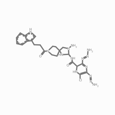 NN=NC1=NC(N=NN)=C(Cl)NC1C(=O)NC1NC2(CCN(C(=O)CCc3c[nH]c4ccccc34)CC2)CN1N